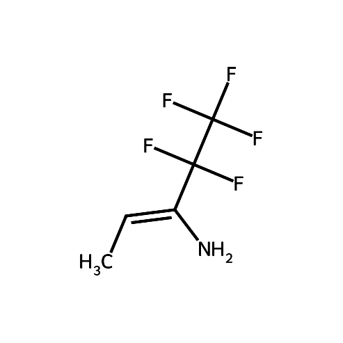 CC=C(N)C(F)(F)C(F)(F)F